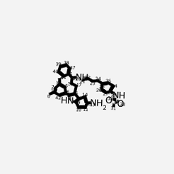 Cc1cc(C)cc(-c2[nH]c3ccc(N)cc3c2CCC(NCCCCc2ccc(NS(C)(=O)=O)cc2)c2ccccc2)c1